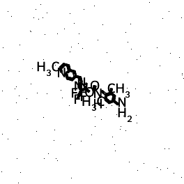 Cc1ccc2cc(Cn3cc(OC(=O)NCc4c(C)cc(CN)cc4C)c(C(F)(F)F)n3)ccc2n1